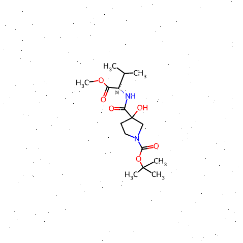 COC(=O)[C@@H](NC(=O)C1(O)CCN(C(=O)OC(C)(C)C)C1)C(C)C